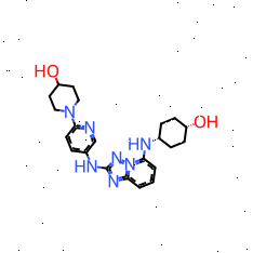 OC1CCN(c2ccc(Nc3nc4cccc(N[C@H]5CC[C@@H](O)CC5)n4n3)cn2)CC1